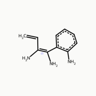 C=C/C(N)=C(/N)c1ccccc1N